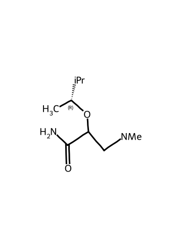 CNCC(O[C@H](C)C(C)C)C(N)=O